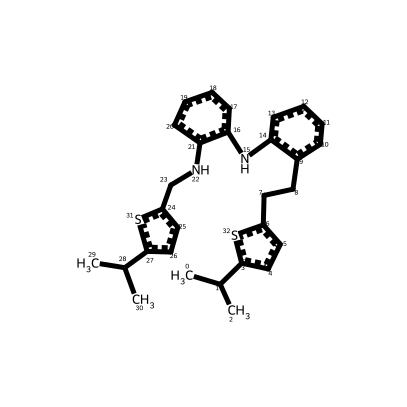 CC(C)c1ccc(CCc2ccccc2Nc2ccccc2NCc2ccc(C(C)C)s2)s1